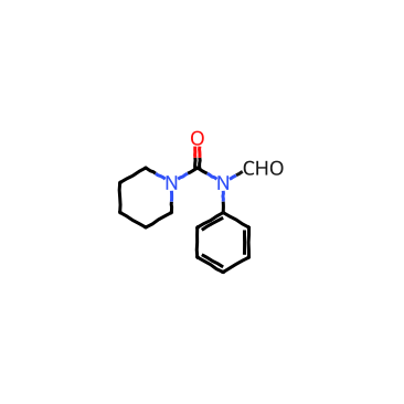 O=CN(C(=O)N1CCCCC1)c1ccccc1